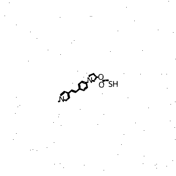 CN1C=CC(/C=C/c2ccc(N3CCC(OC(=O)CS)C3)cc2)=CC1